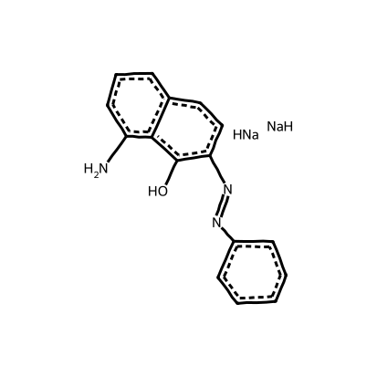 Nc1cccc2ccc(N=Nc3ccccc3)c(O)c12.[NaH].[NaH]